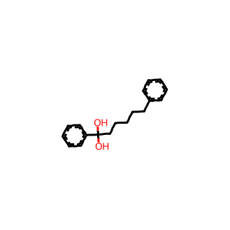 OC(O)(CCCCCc1ccccc1)c1ccccc1